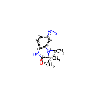 CN1c2cc(N)ccc2NC(=O)C1(C)C